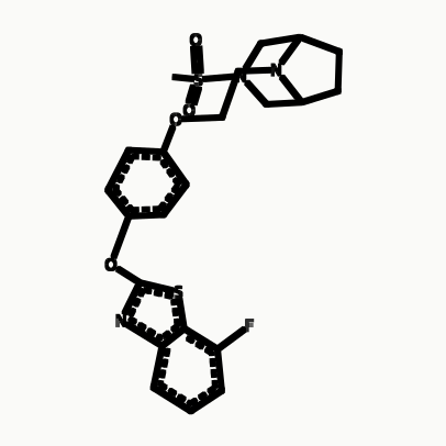 CS(=O)(=O)N1CC2CCC(C1)N2CCOc1ccc(Oc2nc3cccc(F)c3s2)cc1